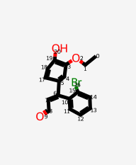 CCOc1cc(C(=CC=O)c2ccccc2Br)ccc1O